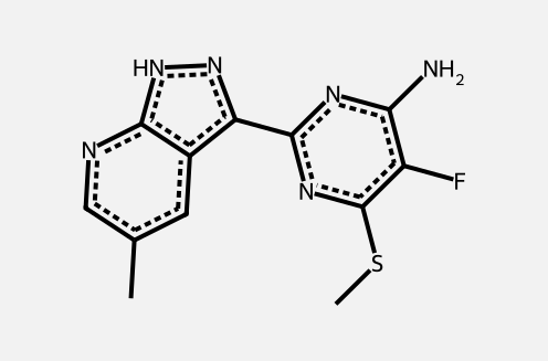 CSc1nc(-c2n[nH]c3ncc(C)cc23)nc(N)c1F